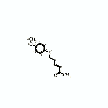 COc1ccc(SCC/C=C/C(C)=O)cc1